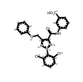 O=C(O)c1cccc(NC(=O)c2nn(-c3c(Cl)cccc3Cl)nc2COc2ccccc2)c1